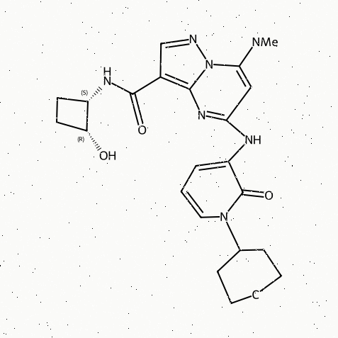 CNc1cc(Nc2cccn(C3CCCCC3)c2=O)nc2c(C(=O)N[C@H]3CC[C@H]3O)cnn12